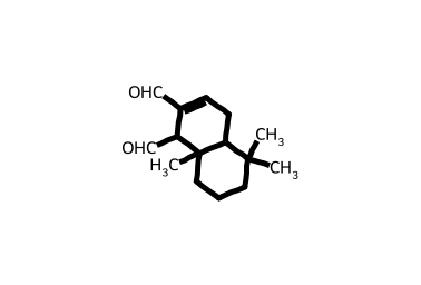 CC1(C)CCCC2(C)C(C=O)C(C=O)=CCC12